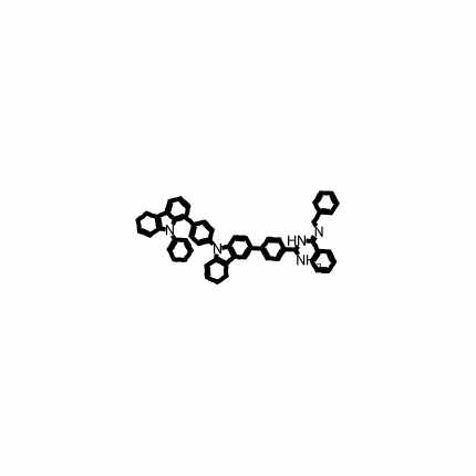 NC(N/C(=N\Cc1ccccc1)c1ccccc1)c1ccc(-c2ccc3c(c2)c2c(n3-c3ccc(-c4cccc5c6c(n(C7=CCCC=C7)c45)C=CCC6)cc3)C=CCC2)cc1